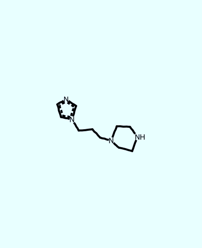 c1cn(CCCN2CCNCC2)cn1